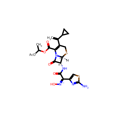 C=C(C1=C(C(=O)OC(C)OC(C)=O)N2C(=O)[C@@H](NC(=O)/C(=N\O)c3csc(N)n3)[C@@H]2SC1)C1CC1